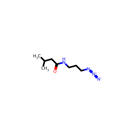 CC(C)CC(=O)NCCCN=[N+]=[N-]